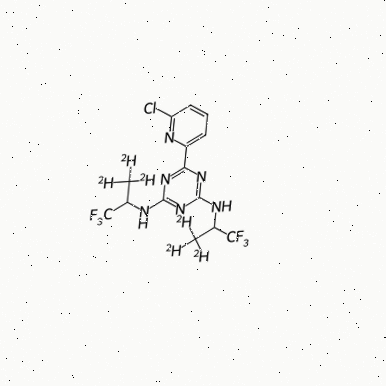 [2H]C([2H])([2H])C(Nc1nc(NC(C([2H])([2H])[2H])C(F)(F)F)nc(-c2cccc(Cl)n2)n1)C(F)(F)F